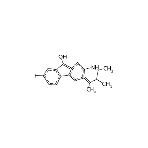 CC1=c2cc3c(cc2NC(C)C1C)=C(O)c1cc(F)ccc1-3